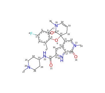 Cc1cc(F)cc(C)c1OC1(c2cn(C)c(=O)c3[nH]c(C(=O)NC4CCN(C)CC4)cc23)CC=CN(C)C1=O